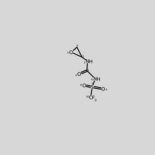 O=C(NC1CO1)NS(=O)(=O)C(F)(F)F